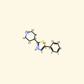 c1ccc(-c2cnc(C3CC[N]CC3)s2)cc1